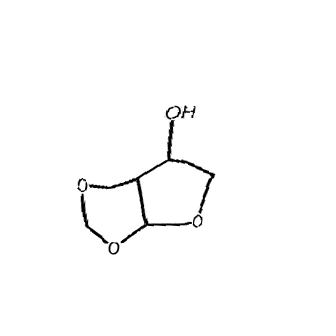 OC1COC2OCOC12